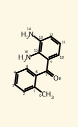 Cc1ccccc1C(=O)c1cccc(N)c1N